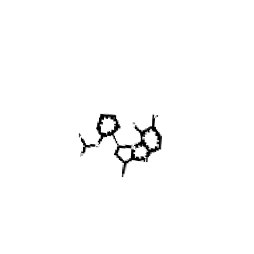 Fc1c(Br)ccc2nc3n(c12)[C@H](c1ccccc1OC(F)F)CC3F